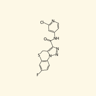 O=C(Nc1ccnc(Cl)c1)c1nnn2c1CSc1cc(F)ccc1-2